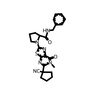 Cn1c(C2(C#N)CCCC2)nc2sc(N3CCCC3C(=O)NCc3ccccc3)nc2c1=O